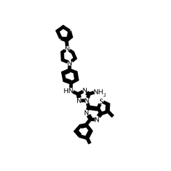 Cc1cccc(-c2nc(-n3nc(Nc4ccc(N5CCN(C6CC7CCC6C7)CC5)cc4)nc3N)c3scc(C)c3n2)c1